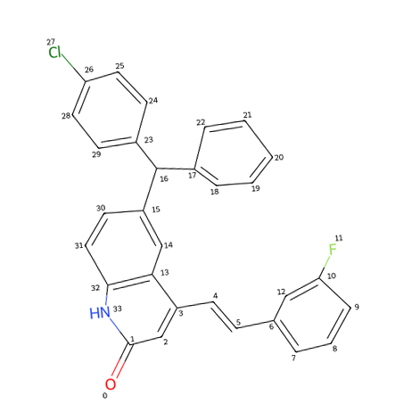 O=c1cc(/C=C/c2cccc(F)c2)c2cc(C(c3ccccc3)c3ccc(Cl)cc3)ccc2[nH]1